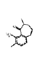 Cc1ccc2c(c1N)C(=O)C(C)CCC2